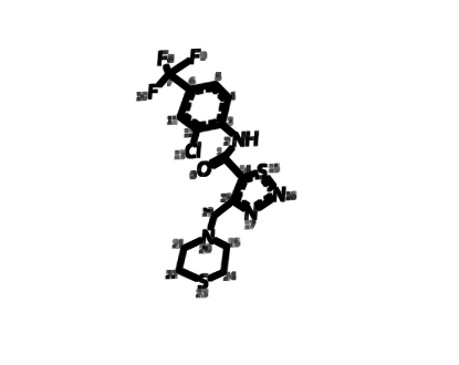 O=C(Nc1ccc(C(F)(F)F)cc1Cl)c1snnc1CN1CCSCC1